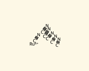 [C-]#N.[C-]#N.[C-]#N.[C-]#N.[C-]#N.[C-]#N.[Ru+6]